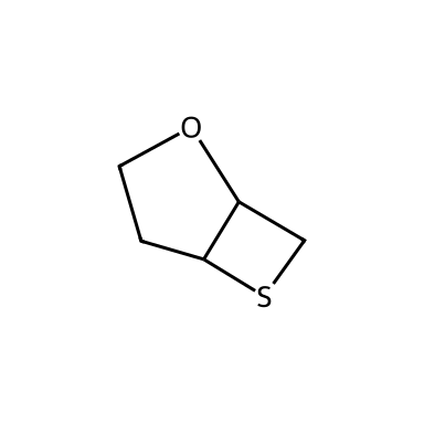 C1CC2SCC2O1